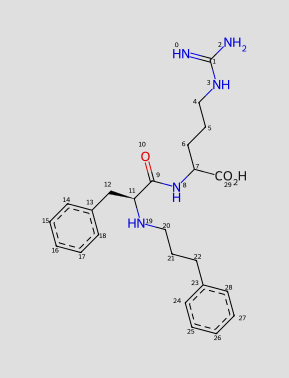 N=C(N)NCCCC(NC(=O)[C@H](Cc1ccccc1)NCCCc1ccccc1)C(=O)O